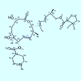 C/C(=C\C=C\[C@@H](C)COC(=O)N1CCCC1(C)C)[C@H]1OC(=O)C[C@@H](O)CC[C@](C)(O)[C@@H](OC(=O)N2CCN(C)CC2)/C=C/[C@@H]1C